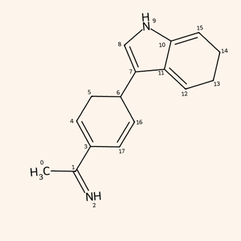 CC(=N)C1=CCC(c2c[nH]c3c2=CCCC=3)C=C1